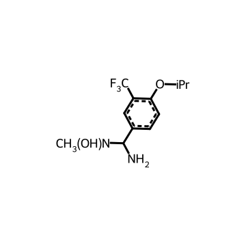 CC(C)Oc1ccc(C(N)N(C)O)cc1C(F)(F)F